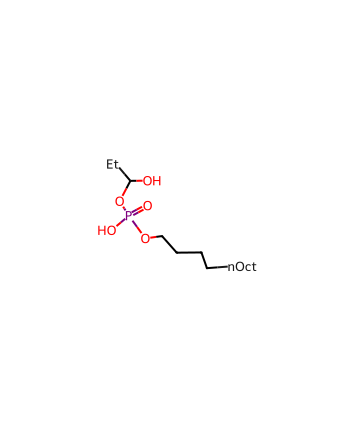 CCCCCCCCCCCCOP(=O)(O)OC(O)CC